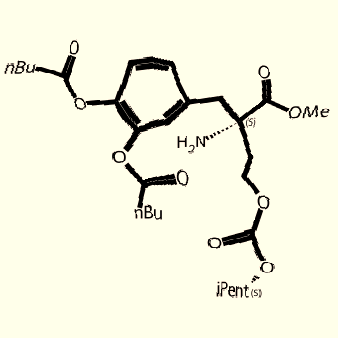 CCCCC(=O)Oc1ccc(C[C@](N)(CCOC(=O)O[C@@H](C)CCC)C(=O)OC)cc1OC(=O)CCCC